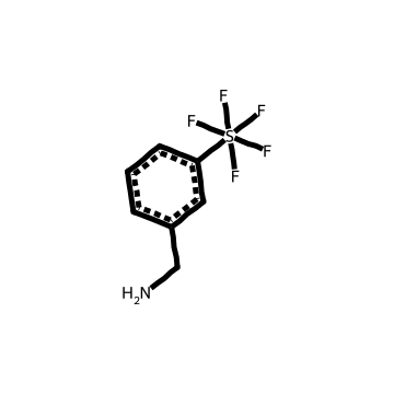 NCc1cccc(S(F)(F)(F)(F)F)c1